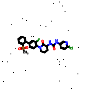 CS(=O)(=O)c1ccccc1-c1ccc(N2CCCC(NC(=O)Nc3ccc(Cl)nc3)C2=O)c(F)c1